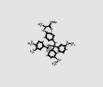 COC(=O)C(C)Oc1ccc(CC(NC(=O)c2ccc(C)c(C(F)(F)F)c2)(c2cccc(OC(F)(F)F)c2)c2cccc(OC(F)(F)F)c2)cc1